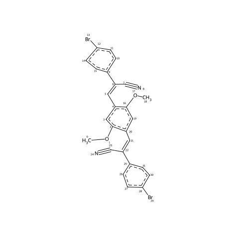 COc1cc(C=C(C#N)c2ccc(Br)cc2)c(OC)cc1C=C(C#N)c1ccc(Br)cc1